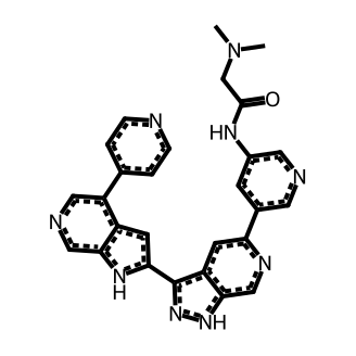 CN(C)CC(=O)Nc1cncc(-c2cc3c(-c4cc5c(-c6ccncc6)cncc5[nH]4)n[nH]c3cn2)c1